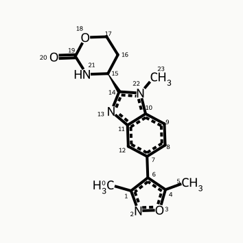 Cc1noc(C)c1-c1ccc2c(c1)nc([C@@H]1CCOC(=O)N1)n2C